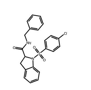 O=C(NCc1ccccc1)C1Cc2ccccc2N1S(=O)(=O)c1ccc(Cl)cc1